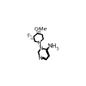 CO[C@@H]1CCN(N2CN=CC=C2N)C[C@@H]1F